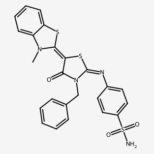 CN1C(=C2SC(=Nc3ccc(S(N)(=O)=O)cc3)N(Cc3ccccc3)C2=O)Sc2ccccc21